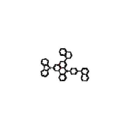 c1cc(-c2cccc3ccccc23)cc(N(c2ccc(-c3cccc4ccccc34)cc2)c2ccccc2-c2cccc(-n3c4ccccc4c4ccccc43)c2)c1